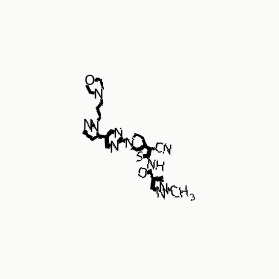 Cn1cc(C(=O)Nc2sc3c(c2C#N)CCN(c2ncc(C4CC=NN4CCCN4CCOCC4)cn2)C3)cn1